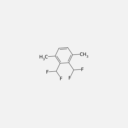 Cc1ccc(C)c(C(F)F)c1C(F)F